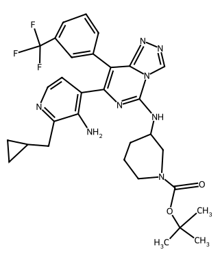 CC(C)(C)OC(=O)N1CCCC(Nc2nc(-c3ccnc(CC4CC4)c3N)c(-c3cccc(C(F)(F)F)c3)c3nncn23)C1